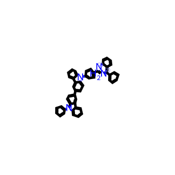 C=C(/N=C1/C=CC=C/C1=C(/N)c1ccccc1)c1ccc(-n2c3ccccc3c3cc(-c4ccc5c(c4)c4ccccc4n5-c4ccccc4)ccc32)cc1